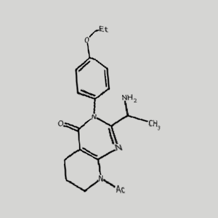 CCOc1ccc(-n2c(C(C)N)nc3c(c2=O)CCCN3C(C)=O)cc1